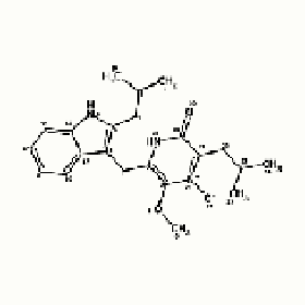 COc1c(Cc2c(CC(C)C)[nH]c3ccccc23)[nH]c(=O)c(CC(C)C)[n+]1[O-]